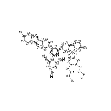 CCCCCCCCC1(CCCCCCCC)c2cc(C)ccc2-c2ccc(-c3cc(-c4ccc5c(c4)sc4c6ccc(C)cc6sc54)nc(-c4c(C#N)cc(C#N)cc4C#N)n3)cc21